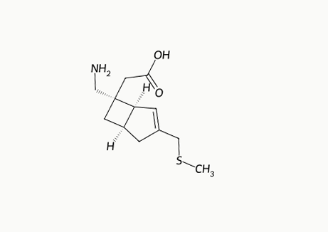 CSCC1=C[C@H]2[C@@H](C1)C[C@@]2(CN)CC(=O)O